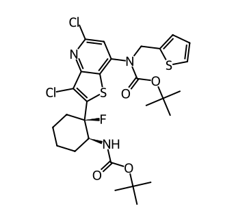 CC(C)(C)OC(=O)N[C@H]1CCCC[C@]1(F)c1sc2c(N(Cc3cccs3)C(=O)OC(C)(C)C)cc(Cl)nc2c1Cl